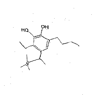 CCCCc1cc(C(C)[Si](C)(C)C)c(CC)c(O)c1O